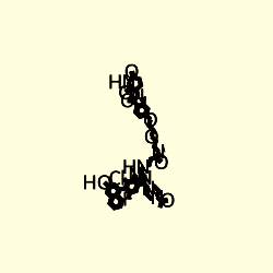 CC(=O)N1CCN(c2nc(NCCC(=O)N(C)CCOCCOc3ccc4c(c3)CN(C3CCC(=O)NC3=O)C4=O)nc3c(Cl)c(-c4cc(O)cc5ccccc45)c(F)cc23)CC1